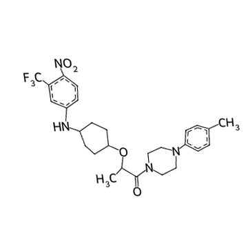 Cc1ccc(N2CCN(C(=O)C(C)OC3CCC(Nc4ccc([N+](=O)[O-])c(C(F)(F)F)c4)CC3)CC2)cc1